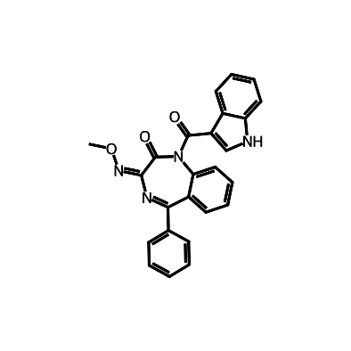 CON=c1nc(-c2ccccc2)c2ccccc2n(C(=O)c2c[nH]c3ccccc23)c1=O